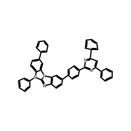 c1ccc(-c2ccc3c(c2)n2c4cc(-c5ccc(-c6nc(-c7ccccc7)cc(-c7ccccc7)n6)cc5)ccc4nc2n3-c2ccccc2)cc1